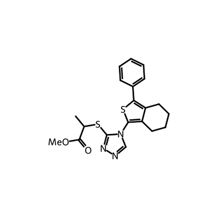 COC(=O)C(C)Sc1nncn1-c1sc(-c2ccccc2)c2c1CCCC2